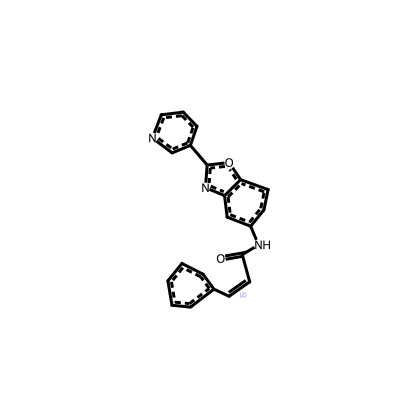 O=C(/C=C\c1ccccc1)Nc1ccc2oc(-c3cccnc3)nc2c1